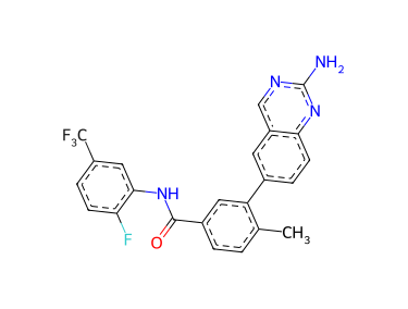 Cc1ccc(C(=O)Nc2cc(C(F)(F)F)ccc2F)cc1-c1ccc2nc(N)ncc2c1